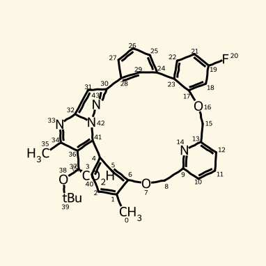 Cc1ccc2cc1OCc1cccc(n1)COc1cc(F)ccc1-c1cccc(c1)-c1cc3nc(C)c([C@H](OC(C)(C)C)C(=O)O)c-2n3n1